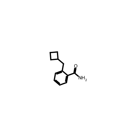 NC(=O)c1ccccc1CC1CCC1